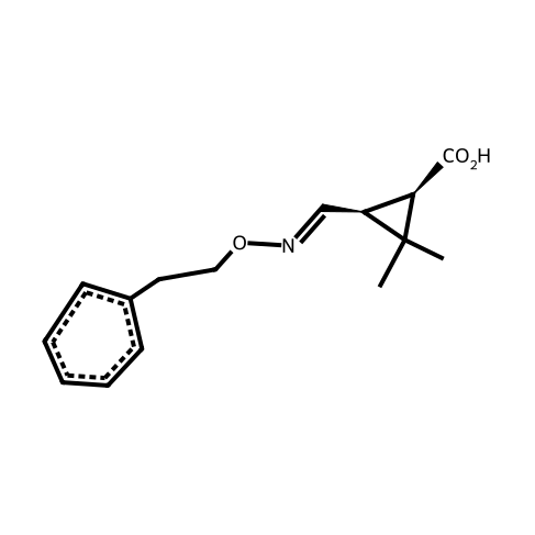 CC1(C)[C@H](C(=O)O)[C@@H]1C=NOCCc1ccccc1